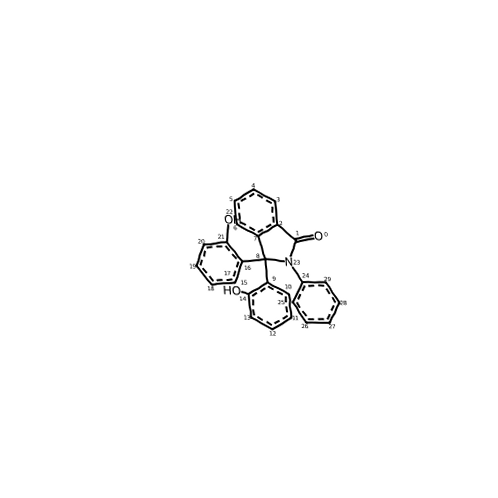 O=C1c2ccccc2C(c2ccccc2O)(c2ccccc2O)N1c1ccccc1